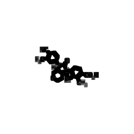 CCc1c(N2C(=O)N(c3ccc(C#N)c(C(F)(F)F)c3)[C@H]3COCC[C@@H]32)ccc(C(=O)O)c1C